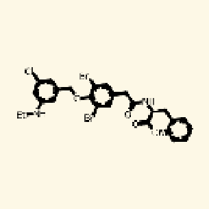 CCNc1cc(Cl)cc(COc2c(Br)cc(CC(=O)N[C@@H](Cc3ccccc3)C(=O)OC)cc2Br)c1